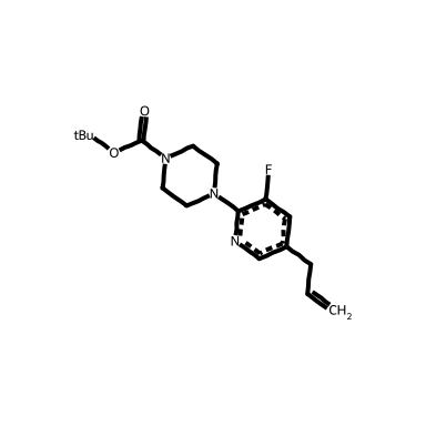 C=CCc1cnc(N2CCN(C(=O)OC(C)(C)C)CC2)c(F)c1